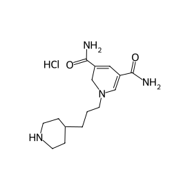 Cl.NC(=O)C1=CN(CCCC2CCNCC2)CC(C(N)=O)=C1